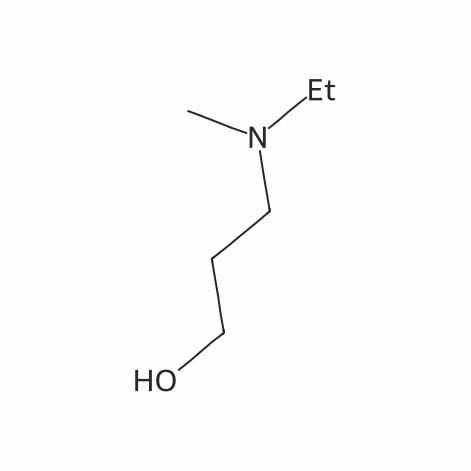 [CH2]CN(C)CCCO